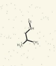 CCBCC(C)C